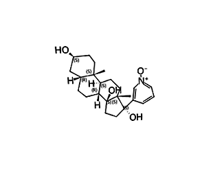 C[C@]12CC[C@H](O)C[C@H]1CC[C@@H]1[C@@H]2CC[C@]2(C)[C@@](O)(c3ccc[n+]([O-])c3)CC[C@]12O